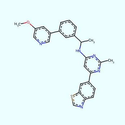 COc1cncc(-c2cccc(C(C)Nc3cc(-c4ccc5ncsc5c4)nc(C)n3)c2)c1